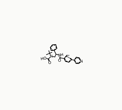 CC(C)(C)N(CC(NC(=O)c1ccc(-c2ccncc2)cc1)c1ccccc1)C(=O)O